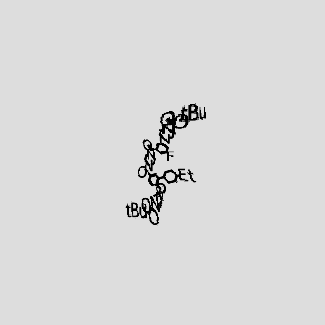 CCC1CCC(c2cc(C(=O)N3CCN(C(=O)c4cc(F)cc(N5CCN(C(=O)OC(C)(C)C)CC5)c4)CC3)ccc2O[C@H]2CCN(C(=O)OC(C)(C)C)C2)CC1